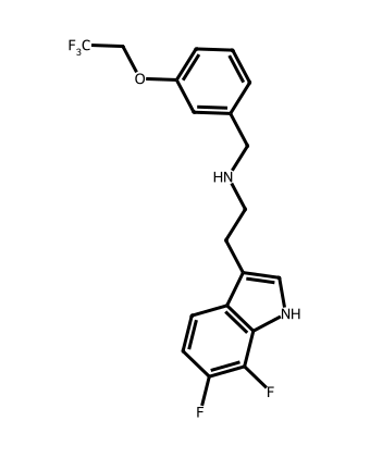 Fc1ccc2c(CCNCc3cccc(OCC(F)(F)F)c3)c[nH]c2c1F